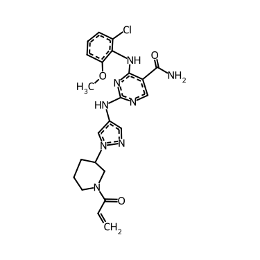 C=CC(=O)N1CCCC(n2cc(Nc3ncc(C(N)=O)c(Nc4c(Cl)cccc4OC)n3)cn2)C1